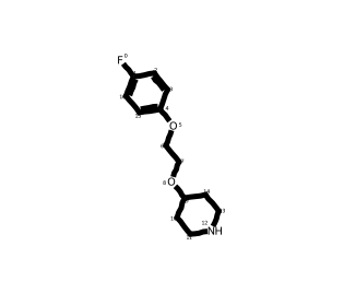 Fc1ccc(OCCOC2CCNCC2)cc1